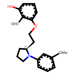 COc1cccc(N2CCC[C@H]2CCOc2cccc(O)c2C=O)c1